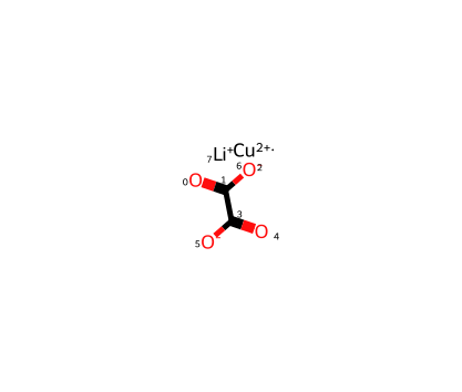 O=C([O-])C(=O)[O-].[Cu+2].[Li+]